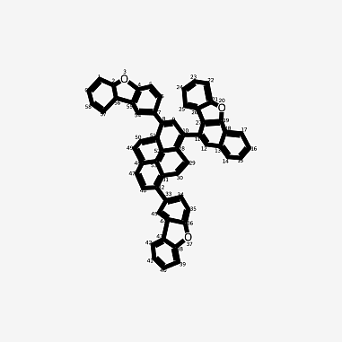 C1=CC2Oc3ccc(-c4cc(-c5cc6ccccc6c6oc7ccccc7c56)c5ccc6c(-c7ccc8oc9ccccc9c8c7)ccc7ccc4c5c76)cc3C2C=C1